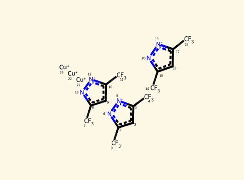 FC(F)(F)c1cc(C(F)(F)F)[n-]n1.FC(F)(F)c1cc(C(F)(F)F)[n-]n1.FC(F)(F)c1cc(C(F)(F)F)[n-]n1.[Cu+].[Cu+].[Cu+]